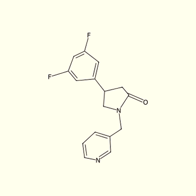 O=C1CC(c2cc(F)cc(F)c2)CN1Cc1cccnc1